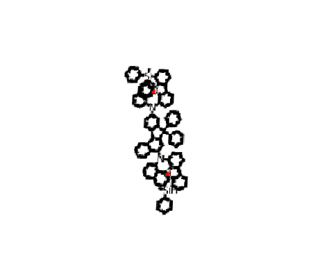 C[SiH](c1ccccc1)c1cccc2c1oc1c(N(c3cccc4ccccc34)c3cc4c(c5ccccc35)-c3ccc(N(c5cccc6ccccc56)c5cccc6c5oc5c([Si](C)(c7ccccc7)c7ccccc7)cccc56)cc3C4(c3ccccc3)c3ccccc3)cccc12